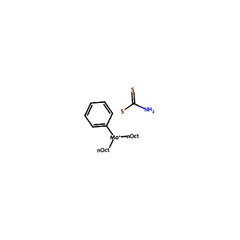 CCCCCCC[CH2][Mo+]([CH2]CCCCCCC)[c]1ccccc1.NC(=S)[S-]